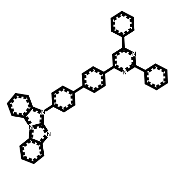 c1ccc(-c2cc(-c3ccc(-c4ccc(-n5c6ccccc6n6c7ccccc7nc56)cc4)cc3)nc(-c3ccccc3)n2)cc1